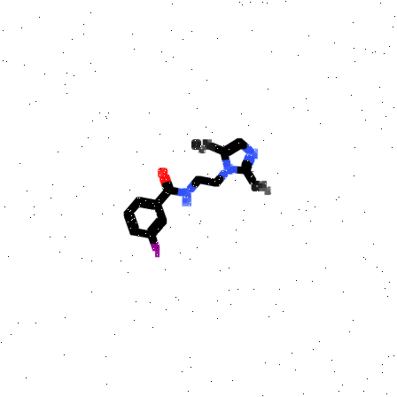 Cc1ncc([N+](=O)[O-])n1CCNC(=O)c1cccc(I)c1